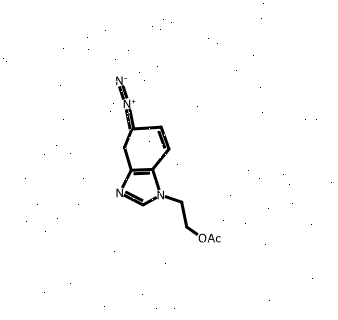 CC(=O)OCCn1cnc2c1C=CC(=[N+]=[N-])C2